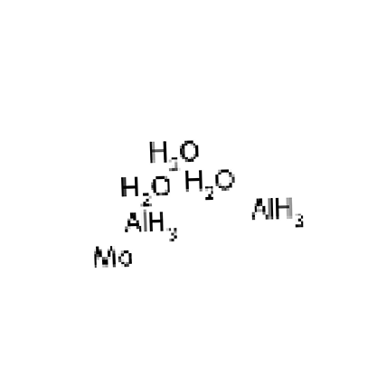 O.O.O.[AlH3].[AlH3].[Mo]